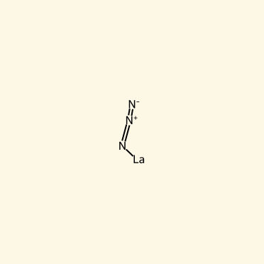 [N-]=[N+]=[N][La]